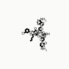 C=CCCC(=O)N[C@@H](COc1cccc(Cl)c1)C(=O)OC1C[C@H](n2cnc3c(N)ncnc32)O[C@@H]1COP(=O)(O)O[C@H]1C[C@H](n2ccc(N)nc2=O)O[C@@H]1CO[PH](=O)O